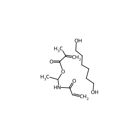 C=CC(=O)NC(C)OC(=O)C(=C)C.OCCCCCCO